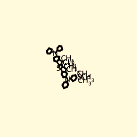 CC1(C)c2cc(N(c3ccccc3)c3ccccc3)ccc2-c2sc3c(c21)C(C)(C)c1cc(N(c2ccccc2)c2ccc([Si](C)(C)C)cc2)ccc1-3